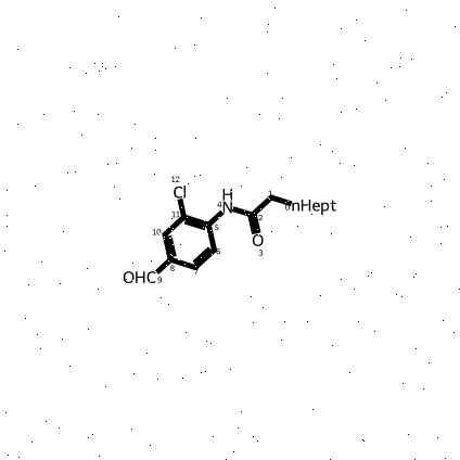 CCCCCCCCC(=O)Nc1ccc(C=O)cc1Cl